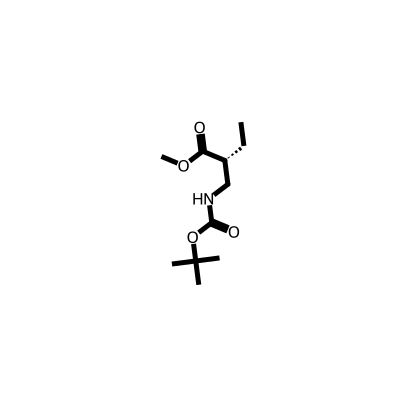 CC[C@H](CNC(=O)OC(C)(C)C)C(=O)OC